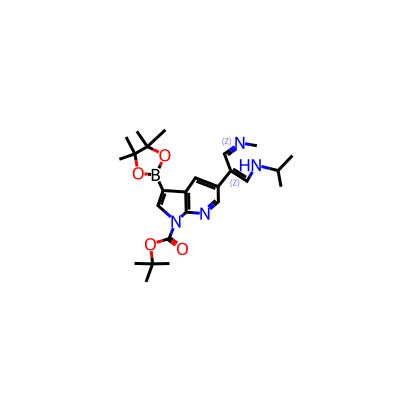 C/N=C\C(=C/NC(C)C)c1cnc2c(c1)c(B1OC(C)(C)C(C)(C)O1)cn2C(=O)OC(C)(C)C